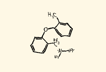 C[CH](C)[Al][CH](C)C.Cc1ccccc1Oc1ccccc1C